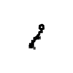 N/N=N/N=C/ONCCCSC1CCCCC1